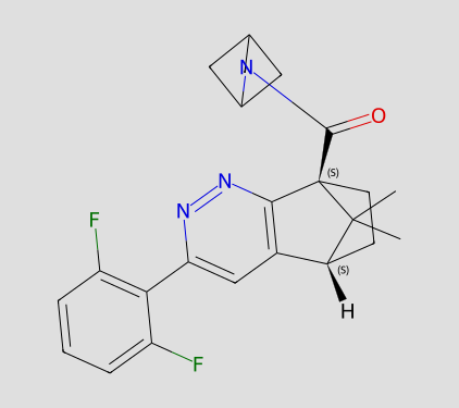 CC1(C)[C@@H]2CC[C@@]1(C(=O)N1CC3CC1C3)c1nnc(-c3c(F)cccc3F)cc12